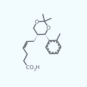 Cc1ccccc1[C@H]1OC(C)(C)OC[C@H]1C/C=C\CCC(=O)O